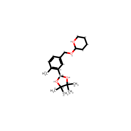 Cc1ccc(COC2CCCCO2)cc1B1OC(C)(C)C(C)(C)O1